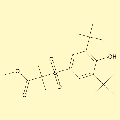 COC(=O)C(C)(C)S(=O)(=O)c1cc(C(C)(C)C)c(O)c(C(C)(C)C)c1